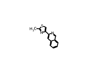 Cc1nc(-c2cc3ccccc3cn2)cs1